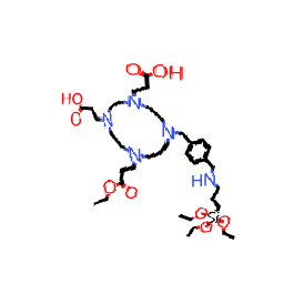 CCOC(=O)CCN1CCCN(Cc2ccc(CNCCC[Si](OCC)(OCC)OCC)cc2)CCN(CCC(=O)O)CCN(CCC(=O)O)CC1